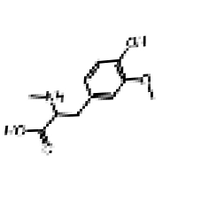 CNC(Cc1ccc(O)c(OC)c1)C(=O)O